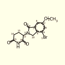 COc1cc(Br)c2c(c1)C(=O)N(C1CCC(=O)NC1=O)C2